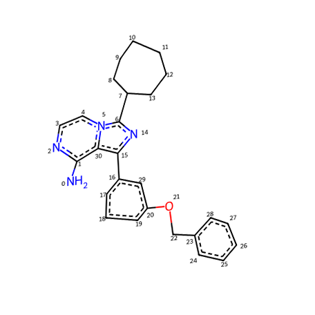 Nc1nccn2c(C3CCCCCC3)nc(-c3cccc(OCc4ccccc4)c3)c12